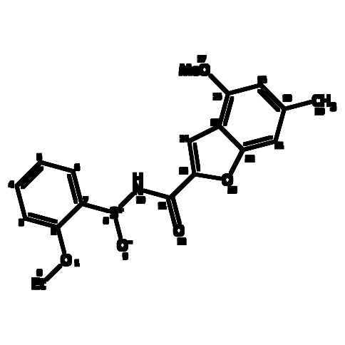 CCOc1ccccc1[S+]([O-])NC(=O)c1cc2c(OC)cc(C)cc2o1